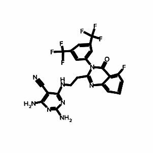 N#Cc1c(N)nc(N)nc1NCCc1nc2cccc(F)c2c(=O)n1-c1cc(C(F)(F)F)cc(C(F)(F)F)c1